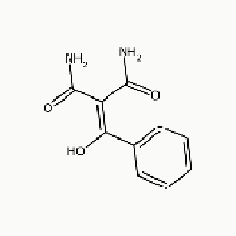 NC(=O)C(C(N)=O)=C(O)c1ccccc1